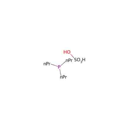 CCCP(CCC)CCC.O=S(=O)(O)O